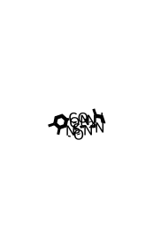 Cc1ccc(C(=O)O)c(N(C)S(=O)(=O)c2nc3nccc(C)n3n2)c1C